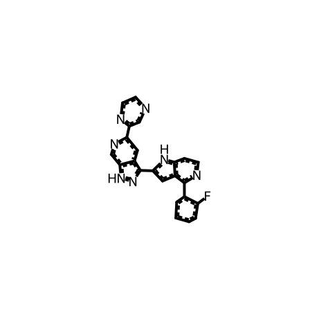 Fc1ccccc1-c1nccc2[nH]c(-c3n[nH]c4cnc(-c5cnccn5)cc34)cc12